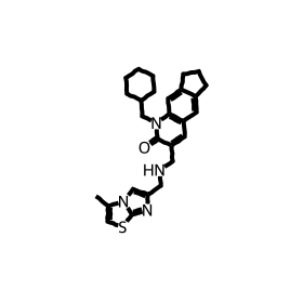 Cc1csc2nc(CNCc3cc4cc5c(cc4n(CC4CCCCC4)c3=O)CCC5)cn12